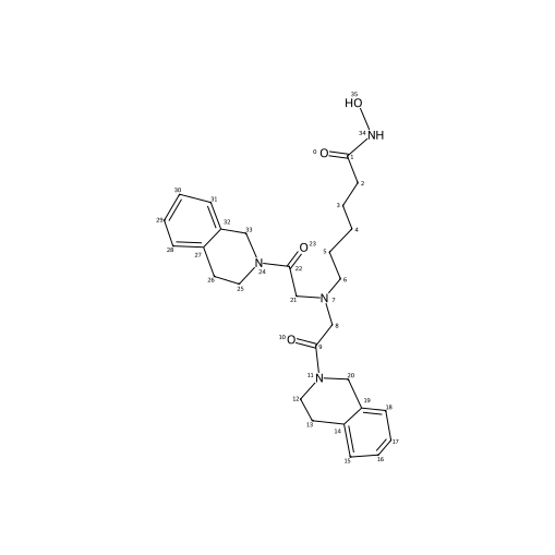 O=C(CCCCCN(CC(=O)N1CCc2ccccc2C1)CC(=O)N1CCc2ccccc2C1)NO